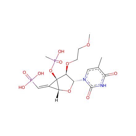 COCCO[C@H]1[C@H](n2cc(C)c(=O)[nH]c2=O)O[C@@H]2/C(=C/P(=O)(O)O)[C@@]21OP(C)(=O)O